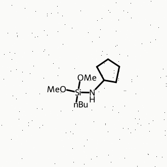 CCCC[Si](NC1CCCC1)(OC)OC